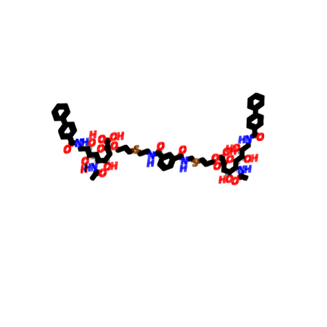 CC(=O)N[C@H]1[C@H]([C@H](O)[C@H](O)CNC(=O)c2ccc(-c3ccccc3)cc2)O[C@@](OCCCSCCNC(=O)c2cccc(C(=O)NCSCCCO[C@]3(C(=O)O)C[C@H](O)[C@@H](NC(C)=O)[C@H]([C@H](O)[C@H](O)CNC(=O)c4ccc(-c5ccccc5)cc4)O3)c2)(C(=O)O)C[C@@H]1O